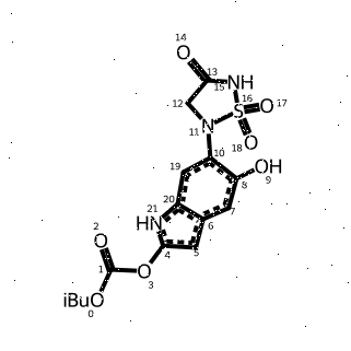 CC(C)COC(=O)Oc1cc2cc(O)c(N3CC(=O)NS3(=O)=O)cc2[nH]1